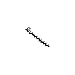 [CH2]C(O)COCCCCCCCCCCCCCCCCC